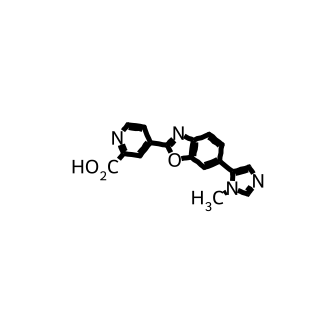 Cn1cncc1-c1ccc2nc(-c3ccnc(C(=O)O)c3)oc2c1